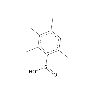 Cc1cc(C)c(S(=O)O)c(C)c1C